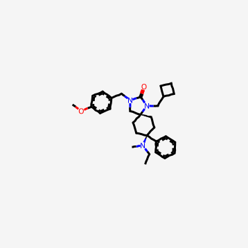 CCN(C)[C@]1(c2ccccc2)CC[C@@]2(CC1)CN(Cc1ccc(OC)cc1)C(=O)N2CC1CCC1